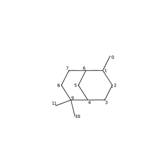 CC1[CH]CC2CC1CCC2(C)C